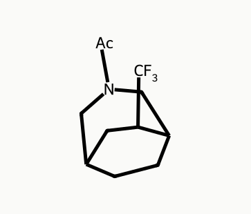 CC(=O)N1CC2CCC(C1)C(C(F)(F)F)C2